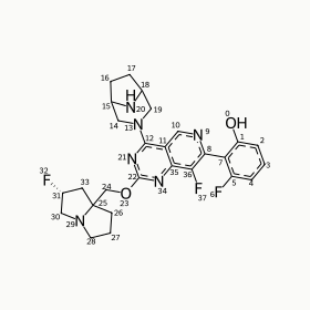 Oc1cccc(F)c1-c1ncc2c(N3CC4CCC(C3)N4)nc(OCC34CCCN3C[C@H](F)C4)nc2c1F